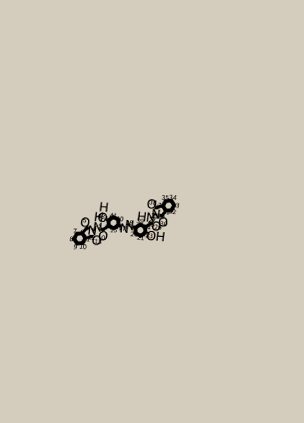 O=C(NN1C(=O)c2ccccc2C1=O)c1cc(/N=N/c2ccc(O)c(C(=O)NN3C(=O)c4ccccc4C3=O)c2)ccc1O